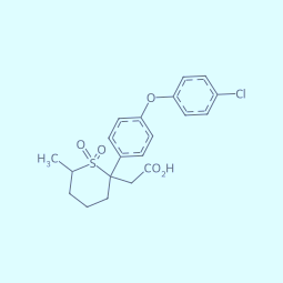 CC1CCCC(CC(=O)O)(c2ccc(Oc3ccc(Cl)cc3)cc2)S1(=O)=O